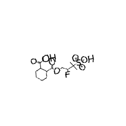 CC(C)(C(F)COC(=O)C1CCCCC1C(=O)O)S(=O)(=O)O